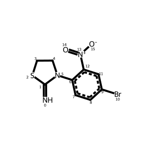 N=C1SCCN1c1ccc(Br)cc1[N+](=O)[O-]